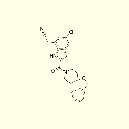 N#CCc1cc(Cl)cc2cc(C(=O)N3CCC4(CC3)OCc3ccccc34)[nH]c12